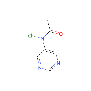 CC(=O)N(Cl)c1cncnc1